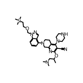 CC(CN(C)C)Oc1nc2c(c(N3CCNCC3)c1C#N)CCN(c1cccc3c1cnn3COCC[Si](C)(C)C)C2